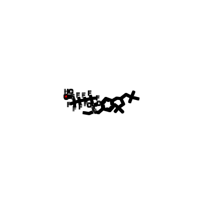 CCN(Cc1ccc(CC(CC(C)(C)C)CC(C)(C)C)cc1)S(=O)(=O)C(F)(F)C(F)(F)C(F)(F)C(F)(F)S(=O)(=O)O